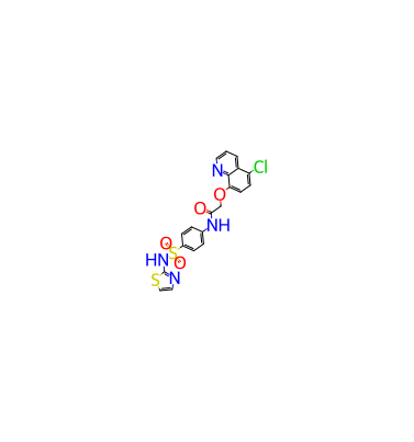 O=C(COc1ccc(Cl)c2cccnc12)Nc1ccc(S(=O)(=O)Nc2nccs2)cc1